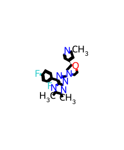 Cc1cc([C@H]2CN(c3nc(-c4ccc(F)cc4F)c4nc(C)c(C)nc4n3)CCO2)ccn1